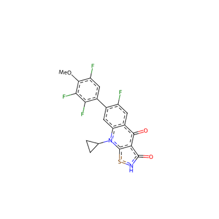 COc1c(F)cc(-c2cc3c(cc2F)c(=O)c2c(=O)[nH]sc2n3C2CC2)c(F)c1F